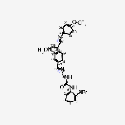 CC(C)c1ccccc1NC(=O)NS/N=C/c1ccc2c(/C=N/c3ccc(OC(F)(F)F)cc3)nn(C)c2c1